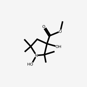 COC(=O)C1(O)CC(C)(C)N(O)C1(C)C